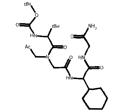 CC(=O)CN(CC(=O)NC(C(=O)NCC(N)=O)C1CCCCC1)C(=O)C(NC(=O)OC(C)(C)C)C(C)(C)C